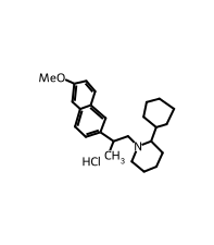 COc1ccc2cc(C(C)CN3CCCCC3C3CCCCC3)ccc2c1.Cl